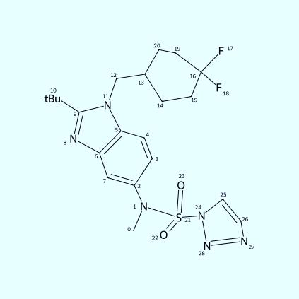 CN(c1ccc2c(c1)nc(C(C)(C)C)n2CC1CCC(F)(F)CC1)S(=O)(=O)n1ccnn1